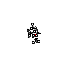 C=C/C=C\c1c(C)cc(C2=CC=CCC2)n2nc(C3=CC(N(/C(=C/C=C)CCCC4=Cc5c6c(n(C7=CCCC=C7)c5CC4)CCCC6)[C@H]4C=C[C@@H](C(=C)/C(C)=C5/C6=C(C=CCC6)C=C(C6=CCCC=C6)N5N)CC4)=CCC3)c(C(/C=C\C)=C/C=C)c12